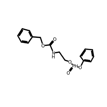 O=C(NCCO[PH](=O)Oc1ccccc1)OCc1ccccc1